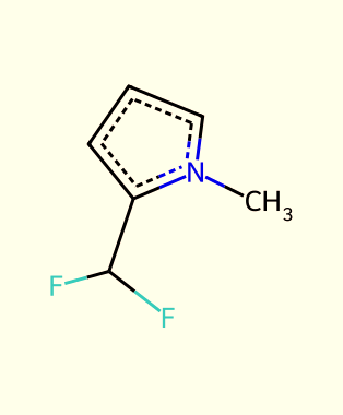 Cn1cccc1C(F)F